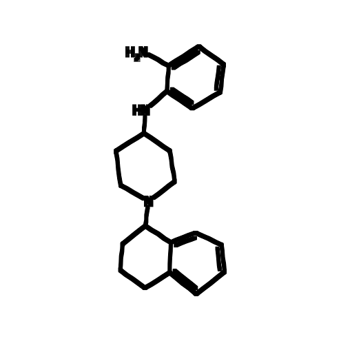 Nc1ccccc1NC1CCN(C2CCCc3ccccc32)CC1